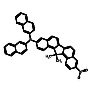 CC1(C)c2c(ccc3cc(N(c4ccc5ccccc5c4)c4ccc5ccccc5c4)ccc23)-c2ccc3cc([N+](=O)[O-])ccc3c21